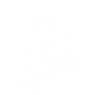 CCC(C(CO[N+](=O)[O-])O[N+](=O)[O-])C12CC3(CC)CC(CC)(CC(CCN)(C3)C1)C2